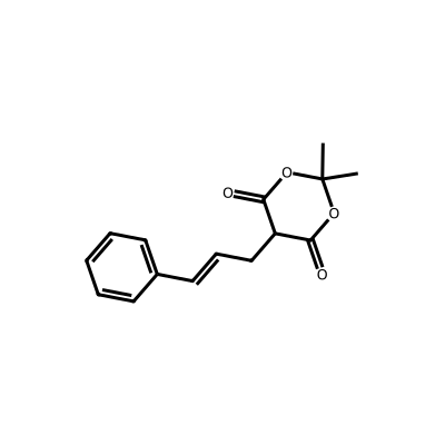 CC1(C)OC(=O)C(CC=Cc2ccccc2)C(=O)O1